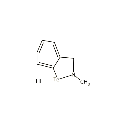 CN1Cc2ccccc2[Te]1.I